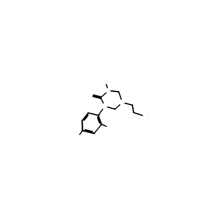 Cc1ccc(N2CN(CCO)CN(C)C2=S)c(C)c1